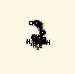 CCCC(CSC(CCc1ccccc1C(C)(C)O)c1cccc(C=Cc2ccc3ccc(Cl)cc3n2)c1)C(=O)O